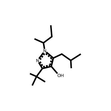 CCC(C)n1nc(C(C)(C)C)c(O)c1CC(C)C